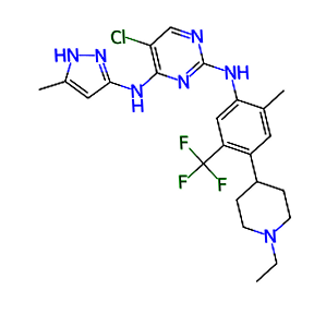 CCN1CCC(c2cc(C)c(Nc3ncc(Cl)c(Nc4cc(C)[nH]n4)n3)cc2C(F)(F)F)CC1